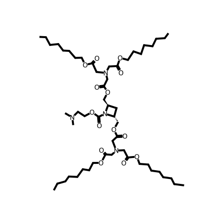 CCCCCCCCOC(=O)CN(CC(=O)OCCCCCCCC)CC(=O)OC[C@H]1C[C@H](COC(=O)CN(CC(=O)OCCCCCCCC)CC(=O)OCCCCCCCC)N1C(=O)OCCN(C)C